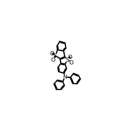 O=S1(=O)C2=C(c3ccccc31)S(=O)(=O)c1cc(N(c3ccccc3)c3ccccc3)ccc12